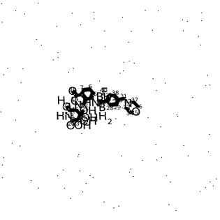 BC(B)(Nc1cccc(C=O)c1CN(C)C1C(=O)NC(=O)C(O)(O)C1(O)O)c1ccc(CN2CCOCC2)cc1F